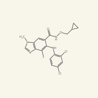 Cn1cnc2c(F)c(Nc3ccc(Cl)cc3Cl)c(C(=O)NOCC3CC3)cc21